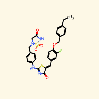 CCc1ccc(COc2ccc(/C=C3\SC(Nc4ccc(CN5CC(=O)NS5(=O)=O)cc4)=NC3=O)cc2F)cc1